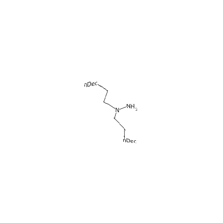 CCCCCCCCCCCCN(N)CCCCCCCCCCCC